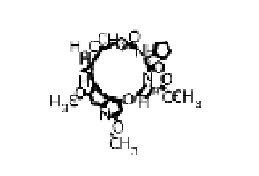 CCOc1cc2c3cc(c(OC)cc3n1)[C@H]1C[C@@H]1CC(C)(C)COC(=O)N[C@@H](C1CCCC1)C(=O)N1C[C@@H](C[C@H]1C(=O)OC)O2